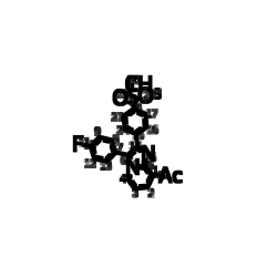 CC(=O)c1cccn2c(-c3ccc(F)cc3)c(-c3ccc(S(C)(=O)=O)cc3)nc12